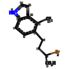 O=C(O)C(Br)CCc1ccc2[nH]ccc2c1C(F)(F)F